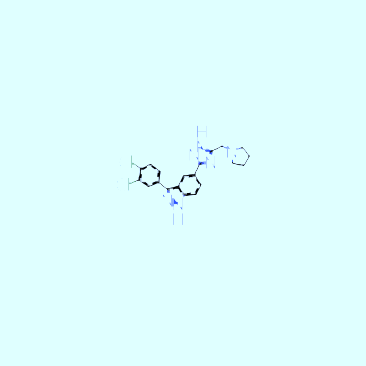 Clc1ccc(-c2n[nH]c3ccc(-c4n[nH]c(CN5CCCC5)n4)cc23)cc1Cl